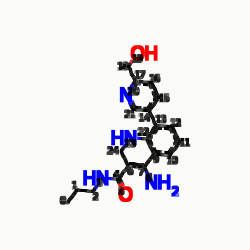 CCCNC(=O)C1=C(N)c2cccc(-c3ccc(CO)nc3)c2NC1